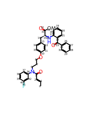 C/C=C/C(=O)N(CCCOc1ccc(C[C@H](Nc2ccccc2C(=O)c2ccccc2)C(=O)OC)cc1)c1cccc(F)c1